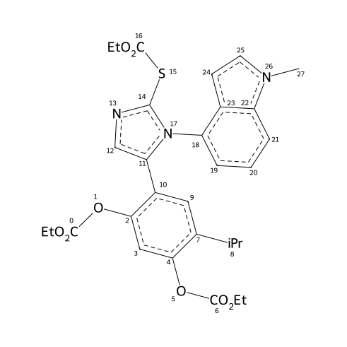 CCOC(=O)Oc1cc(OC(=O)OCC)c(C(C)C)cc1-c1cnc(SC(=O)OCC)n1-c1cccc2c1ccn2C